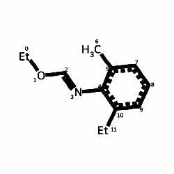 CCOC=Nc1c(C)cccc1CC